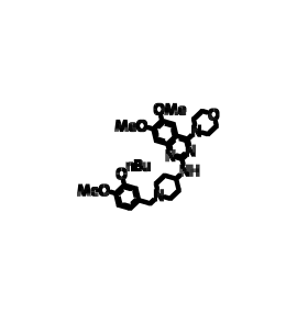 CCCCOc1cc(CN2CCC(Nc3nc(N4CCOCC4)c4cc(OC)c(OC)cc4n3)CC2)ccc1OC